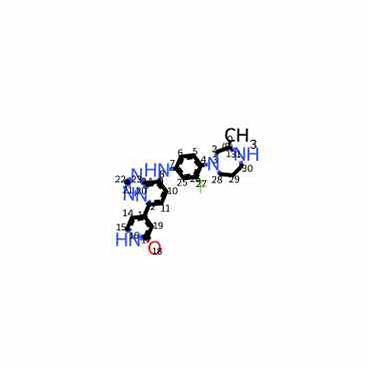 C[C@@H]1CN(c2ccc(Nc3ccc(-c4cc[nH]c(=O)c4)n4ncnc34)cc2F)CCCN1